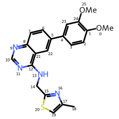 COc1ccc(-c2ccc3ncnc(NCc4nc(C)cs4)c3c2)cc1OC